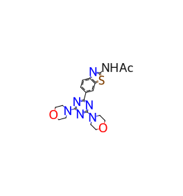 CC(=O)Nc1nc2ccc(-c3nc(N4CCOCC4)nc(N4CCOCC4)n3)cc2s1